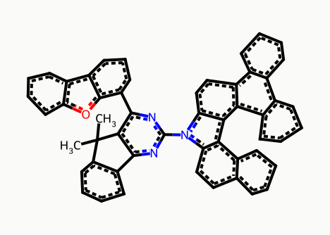 CC1(C)c2ccccc2-c2nc(-n3c4ccc5ccccc5c4c4c5c6ccccc6c6ccccc6c5ccc43)nc(-c3cccc4c3oc3ccccc34)c21